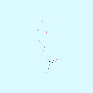 C=COC(C)=O.O=S(O)O.[LiH]